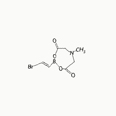 CN1CC(=O)OB(C=CBr)OC(=O)C1